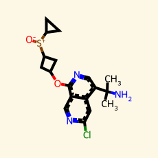 CC(C)(N)c1cnc(OC2CC([S+]([O-])C3CC3)C2)c2cnc(Cl)cc12